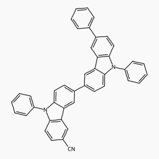 N#Cc1ccc2c(c1)c1cc(-c3ccc4c(c3)c3cc(-c5ccccc5)ccc3n4-c3ccccc3)ccc1n2-c1ccccc1